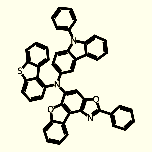 c1ccc(-c2nc3c(cc(N(c4ccc5c(c4)c4ccccc4n5-c4ccccc4)c4cccc5sc6ccccc6c45)c4oc5ccccc5c43)o2)cc1